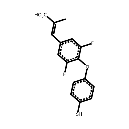 C/C(=C\c1cc(F)c(Oc2ccc(S)cc2)c(F)c1)C(=O)O